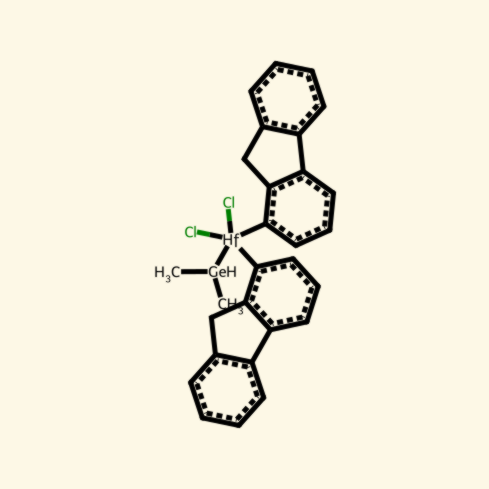 [CH3][GeH]([CH3])[Hf]([Cl])([Cl])([c]1cccc2c1Cc1ccccc1-2)[c]1cccc2c1Cc1ccccc1-2